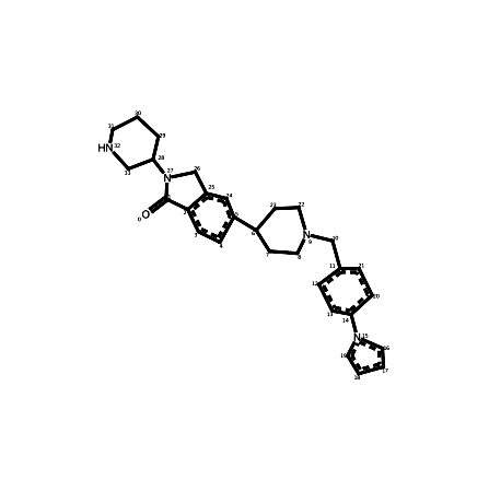 O=C1c2ccc(C3CCN(Cc4ccc(-n5cccc5)cc4)CC3)cc2CN1C1CCCNC1